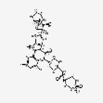 Cc1cc(C)cc(-c2[nH]c3sc(C(C)(C)C(=O)N4C5CCC4CC5)cc3c2C(=O)CN2CCC(CC(=O)N3CCS(=O)(=O)CC3)CC2)c1